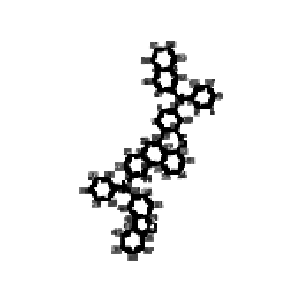 c1ccc(N(c2ccc3c(c2)Sc2cccc4c2c-3cc2ccc(N(c3ccccc3)c3ccc5oc6ccccc6c5c3)cc24)c2ccc3ccccc3c2)cc1